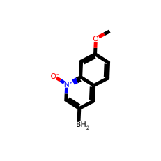 Bc1cc2ccc(OC)cc2[n+]([O-])c1